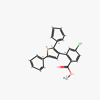 COC(=O)c1ccc(Cl)cc1-c1cc(-c2ccccc2)sc1-c1ccccc1